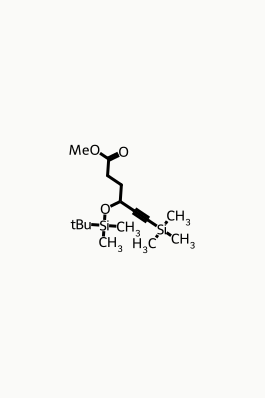 COC(=O)CCC(C#C[Si](C)(C)C)O[Si](C)(C)C(C)(C)C